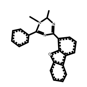 CC1N=C(c2cccc3c2oc2ccccc23)N=C(c2ccccc2)N1C